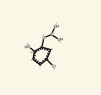 OB(O)Oc1cc(Cl)ccc1O